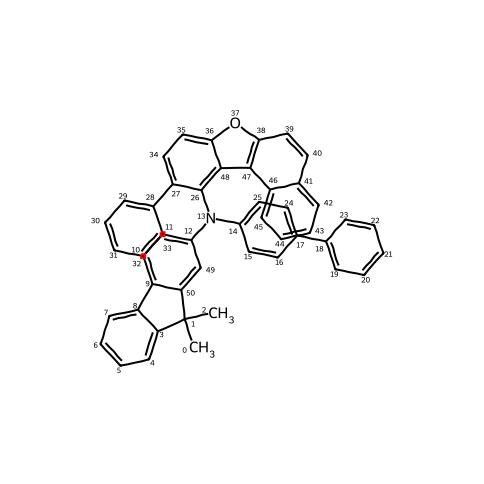 CC1(C)c2ccccc2-c2ccc(N(c3ccc(-c4ccccc4)cc3)c3c(-c4ccccc4)ccc4oc5ccc6ccccc6c5c34)cc21